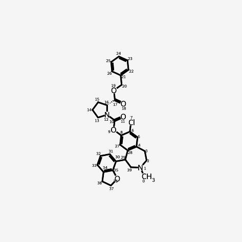 CN1CCc2cc(Cl)c(OC(=O)N3CCC[C@@H]3C(=O)OCc3ccccc3)cc2C(c2cccc3c2OCC3)C1